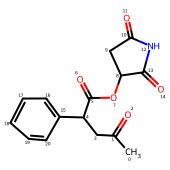 CC(=O)CC(C(=O)OC1CC(=O)NC1=O)c1ccccc1